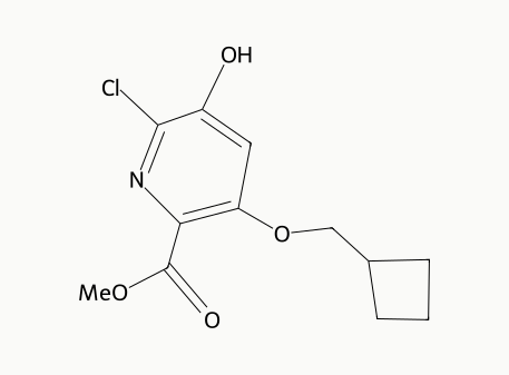 COC(=O)c1nc(Cl)c(O)cc1OCC1CCC1